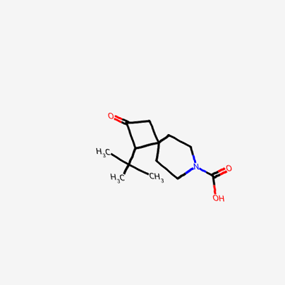 CC(C)(C)C1C(=O)CC12CCN(C(=O)O)CC2